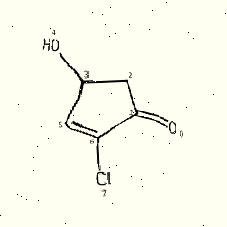 O=C1CC(O)C=C1Cl